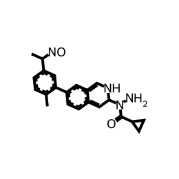 Cc1ccc(C(C)N=O)cc1-c1ccc2c(c1)=CNC(N(N)C(=O)C1CC1)C=2